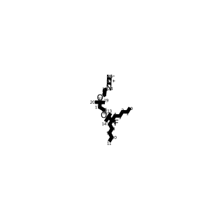 CCCCCC(F)(CCCCC)C(C)(C)OCCC(C)(C)OCCN=[N+]=[N-]